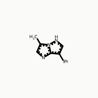 Cc1cnc2c(C(C)C)c[nH]n12